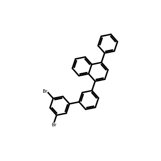 Brc1cc(Br)cc(-c2cccc(-c3ccc(-c4ccccc4)c4ccccc34)c2)c1